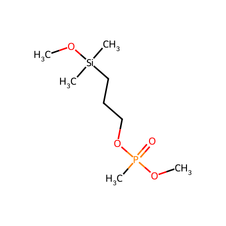 CO[Si](C)(C)CCCOP(C)(=O)OC